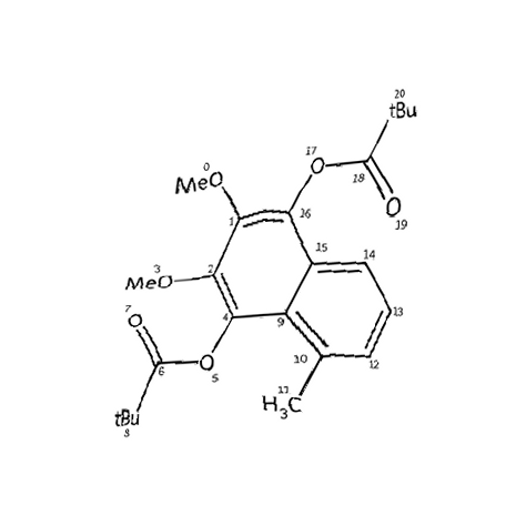 COc1c(OC)c(OC(=O)C(C)(C)C)c2c(C)cccc2c1OC(=O)C(C)(C)C